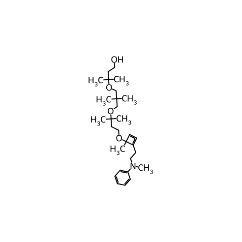 CN(CCC1=C=CC1(C)OCCC(C)(C)OCC(C)(C)COC(C)(C)CCO)c1ccccc1